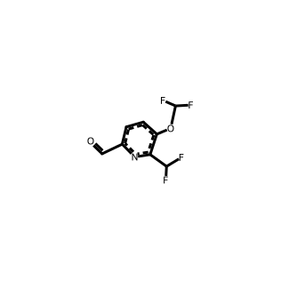 O=Cc1ccc(OC(F)F)c(C(F)F)n1